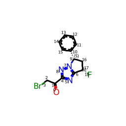 O=C(CBr)c1nc2n(n1)[C@H](c1ccccc1)C[C@@H]2F